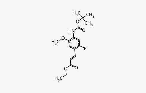 CCOC(=O)C=Cc1cc(OC)c(NC(=O)OC(C)(C)C)cc1F